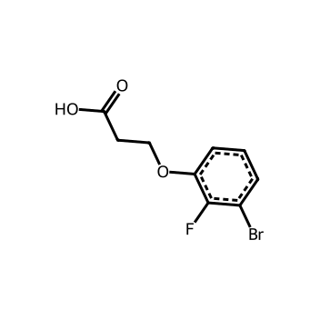 O=C(O)CCOc1cccc(Br)c1F